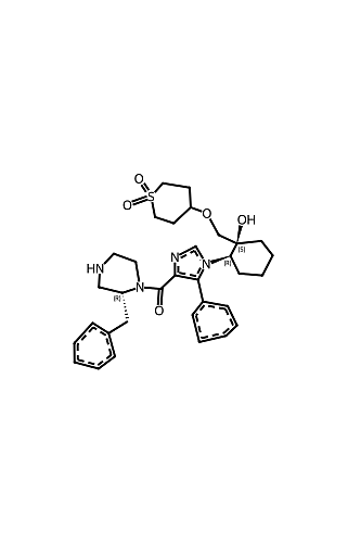 O=C(c1ncn([C@@H]2CCCC[C@@]2(O)COC2CCS(=O)(=O)CC2)c1-c1ccccc1)N1CCNC[C@H]1Cc1ccccc1